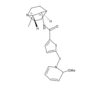 COC1C=CC=CN1Sc1ccc(C(=O)N[C@@H]2C3CCN(CC3)[C@H]2C)s1